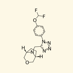 FC(F)Oc1ccc(-n2nnnc2CN2[C@@H]3CC[C@H]2COC3)cc1